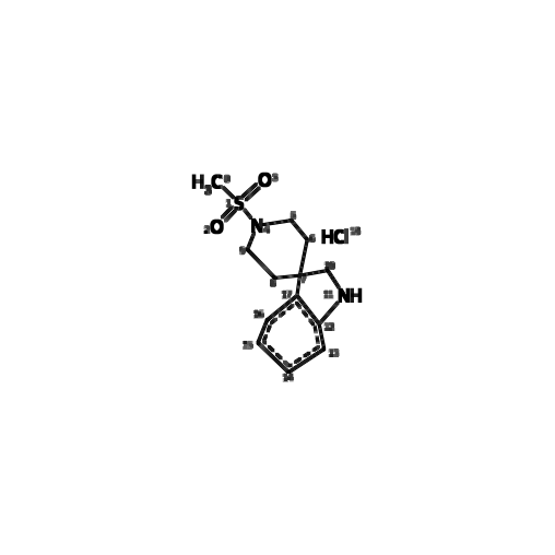 CS(=O)(=O)N1CCC2(CC1)CNc1ccccc12.Cl